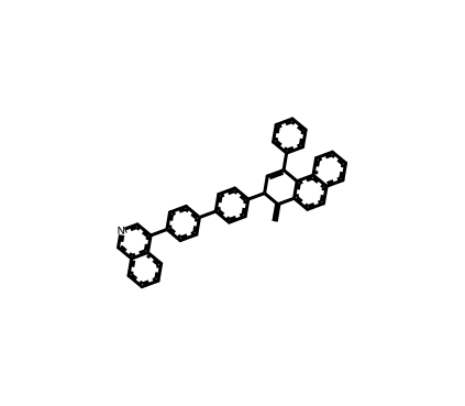 C=C1c2ccc3ccccc3c2C(c2ccccc2)=CC1c1ccc(-c2ccc(-c3cncc4ccccc34)cc2)cc1